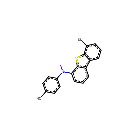 CCc1cccc2c1sc1c(N(I)c3ccc(C#N)cc3)cccc12